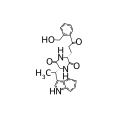 CC(c1c[nH]c2ccccc12)[C@H]1NC(=O)[C@@H](CCC(=O)c2ccccc2CO)NC1=O